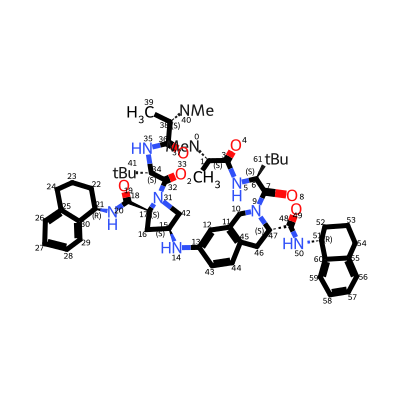 CN[C@@H](C)C(=O)N[C@H](C(=O)N1Cc2cc(N[C@H]3C[C@@H](C(=O)N[C@@H]4CCCc5ccccc54)N(C(=O)[C@@H](NC(=O)[C@H](C)NC)C(C)(C)C)C3)ccc2C[C@H]1C(=O)N[C@@H]1CCCc2ccccc21)C(C)(C)C